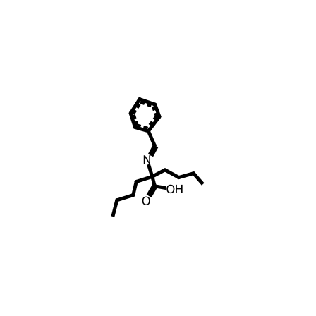 CCCCC(CCCC)(N=Cc1ccccc1)C(=O)O